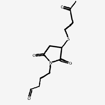 CC(=O)CCSC1CC(=O)N(CCCC=O)C1=O